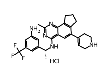 Cc1nc(N[C@H](C)c2cc(N)cc(C(F)(F)F)c2)c2cc(C3=CCNCC3)c3c(c2n1)CCC3.Cl